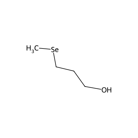 C[Se]CCCO